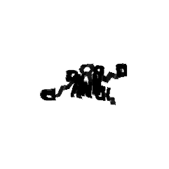 CN(C(=N)C1=C(NC(=O)CCCCl)CCCC1)C(=O)CCCCl